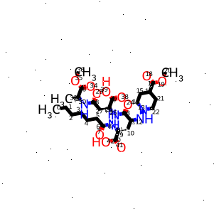 CCCCCCC(=O)N[C@H](CC(NN1CCC(C(=O)OC)CC1)C(=O)N[C@@H](CC(=O)N[C@@H](C)C(=O)OC)C(=O)O)C(=O)O